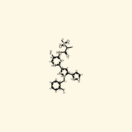 CC(C(=O)Nc1nc(-c2cc(-c3ccon3)n(Cc3ccccc3F)n2)ncc1F)S(C)(=O)=O